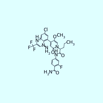 CCCC(C(=O)Nc1ccc(C(N)=O)c(F)c1)n1cc(OC)c(-c2cc(Cl)ccc2N(N)/C=C(\N)C(F)(F)F)cc1=O